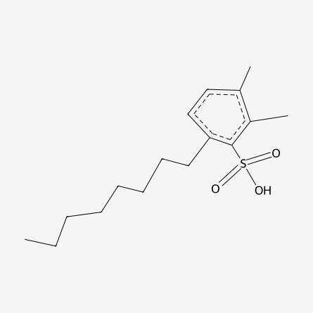 CCCCCCCCc1ccc(C)c(C)c1S(=O)(=O)O